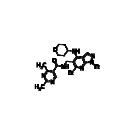 CCc1nc2c(cnn2CC)c(NC2CCOCC2)c1CNC(=O)c1cnc(C)nc1C